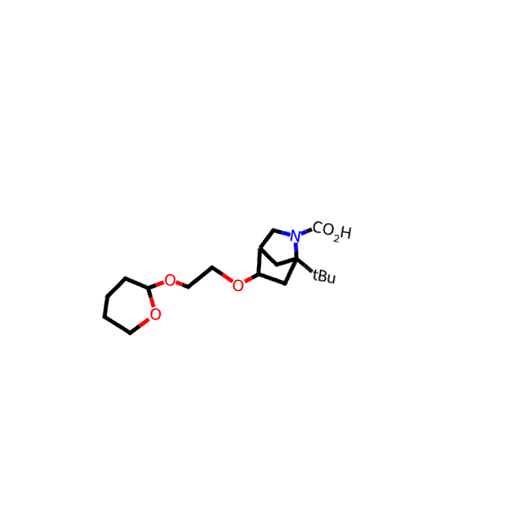 CC(C)(C)C12CC(CN1C(=O)O)C(OCCOC1CCCCO1)C2